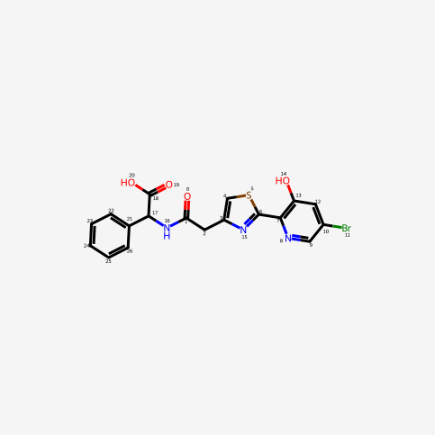 O=C(Cc1csc(-c2ncc(Br)cc2O)n1)NC(C(=O)O)c1ccccc1